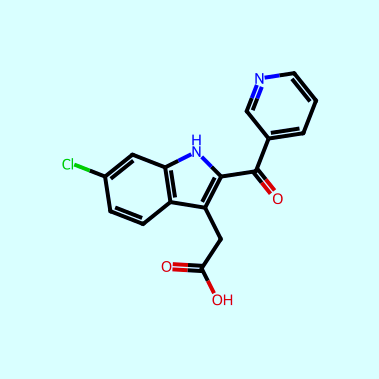 O=C(O)Cc1c(C(=O)c2cccnc2)[nH]c2cc(Cl)ccc12